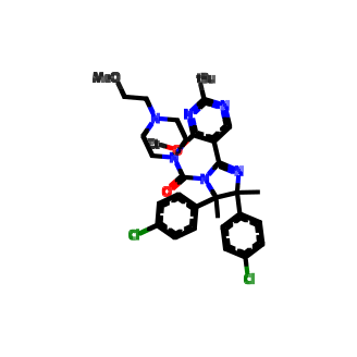 CCOc1nc(C(C)(C)C)ncc1C1=NC(C)(c2ccc(Cl)cc2)C(C)(c2ccc(Cl)cc2)N1C(=O)N1CCN(CCOC)CC1